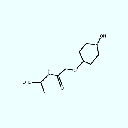 CC([C]=O)NC(=O)COC1CCN(O)CC1